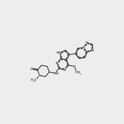 COc1nc(NC2CCC(=O)N(C)C2)nc2[nH]cc(-c3ccc4ncnn4c3)c12